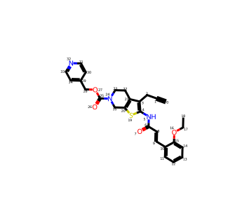 C#CCc1c(NC(=O)/C=C/c2ccccc2OCC)sc2c1CCN(C(=O)OCc1ccncc1)C2